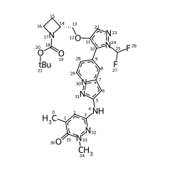 Cc1cc(Nc2cc3cc(-c4c(OC[C@H]5CCN5C(=O)OC(C)(C)C)cnn4C(F)F)ccn3n2)nn(C)c1=O